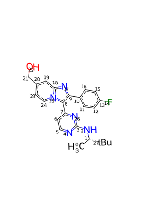 C[C@H](Nc1nccc(-c2c(-c3ccc(F)cc3)nc3cc(CO)ccn23)n1)C(C)(C)C